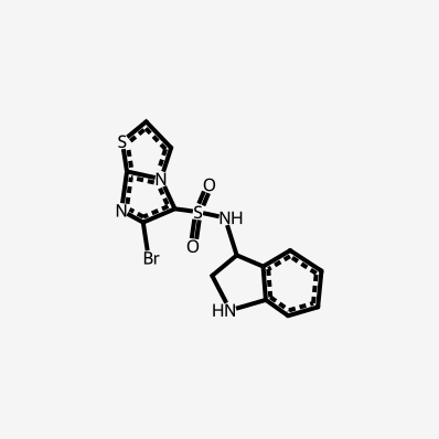 O=S(=O)(NC1CNc2ccccc21)c1c(Br)nc2sccn12